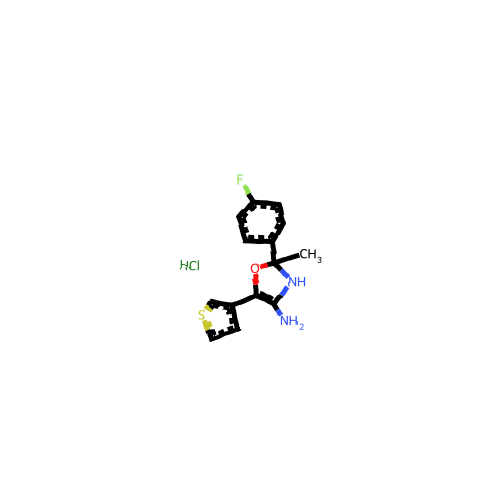 CC1(c2ccc(F)cc2)NC(N)=C(c2ccsc2)O1.Cl